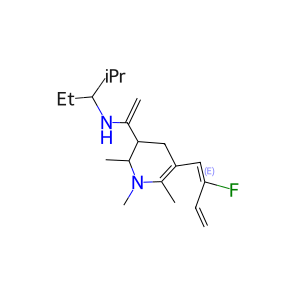 C=C/C(F)=C\C1=C(C)N(C)C(C)C(C(=C)NC(CC)C(C)C)C1